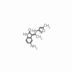 C/C(Nc1cc(C)on1)=C1/C(=O)Nc2ccc(N)cc21